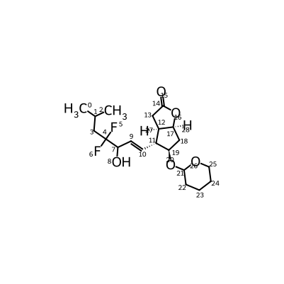 CC(C)CC(F)(F)C(O)C=C[C@@H]1[C@H]2CC(=O)O[C@H]2C[C@H]1OC1CCCCO1